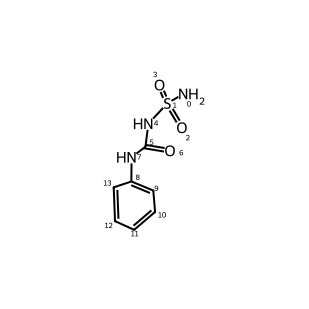 NS(=O)(=O)NC(=O)Nc1ccccc1